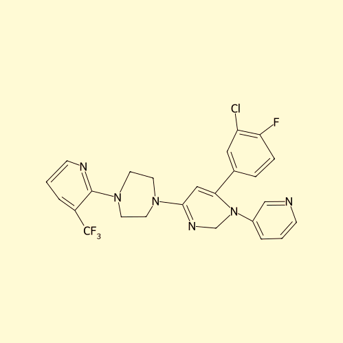 Fc1ccc(C2=CC(N3CCN(c4ncccc4C(F)(F)F)CC3)=NCN2c2cccnc2)cc1Cl